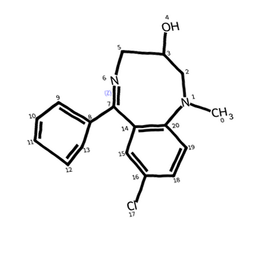 CN1CC(O)C/N=C(/c2ccccc2)c2cc(Cl)ccc21